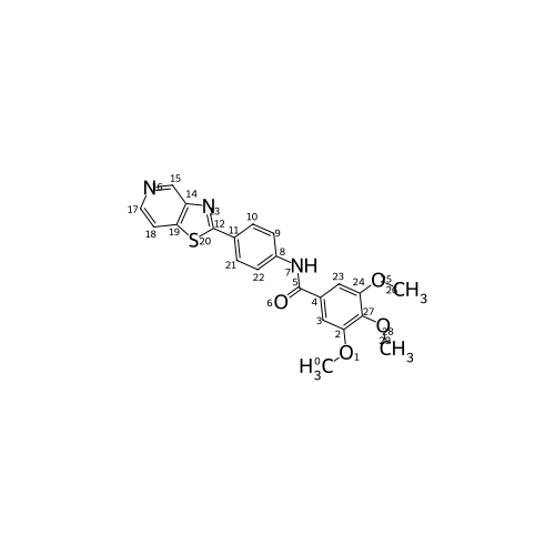 COc1cc(C(=O)Nc2ccc(-c3nc4cnccc4s3)cc2)cc(OC)c1OC